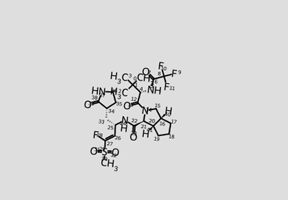 CC(C)(C)[C@H](NC(=O)C(F)(F)F)C(=O)N1C[C@@H]2CCC[C@@H]2[C@H]1C(=O)N[C@H](/C=C(\F)S(C)(=O)=O)C[C@H]1CCNC1=O